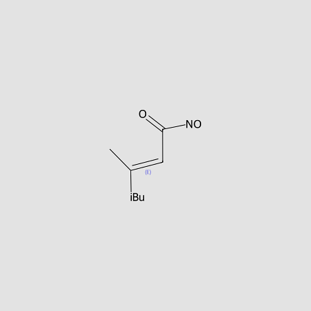 CCC(C)/C(C)=C/C(=O)N=O